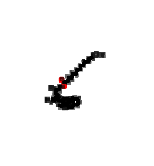 CCCCCCCCCCCCCCCCCCCCCCCC(=O)OCC[C@H](CC[C@@H](C)[C@H]1CC[C@H]2[C@@H]3CCC4CCCC[C@]4(C)[C@H]3CC[C@]12C)C(C)C